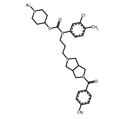 CC(=O)N1CCC(OC(=O)N(CCCN2CC3CN(C(=O)c4ccc(C#N)cc4)CC3C2)c2ccc(C)c(Cl)c2)CC1